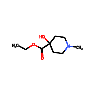 CCOC(=O)C1(O)CCN(C)CC1